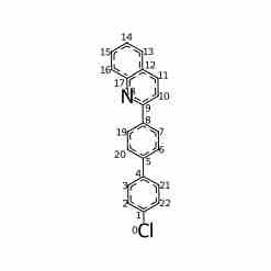 Clc1ccc(-c2ccc(-c3ccc4ccccc4n3)cc2)cc1